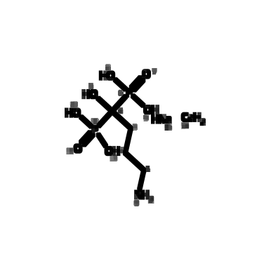 NCCCC(O)(P(=O)(O)O)P(=O)(O)O.[CaH2].[NaH]